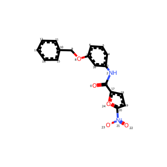 O=C(Nc1cccc(OCc2ccccc2)c1)c1ccc([N+](=O)[O-])o1